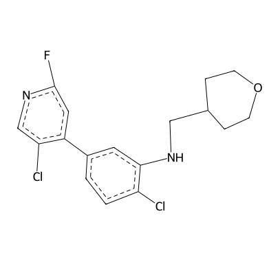 Fc1cc(-c2ccc(Cl)c(NCC3CCOCC3)c2)c(Cl)cn1